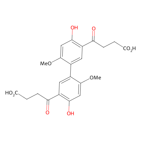 COc1cc(O)c(C(=O)CCC(=O)O)cc1-c1cc(C(=O)CCC(=O)O)c(O)cc1OC